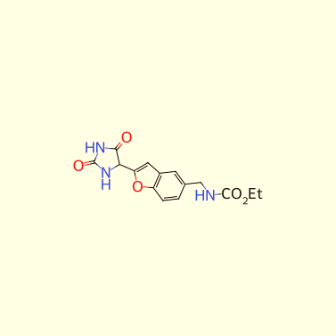 CCOC(=O)NCc1ccc2oc(C3NC(=O)NC3=O)cc2c1